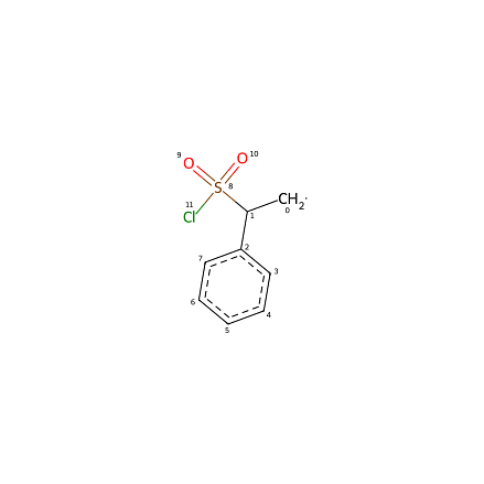 [CH2]C(c1ccccc1)S(=O)(=O)Cl